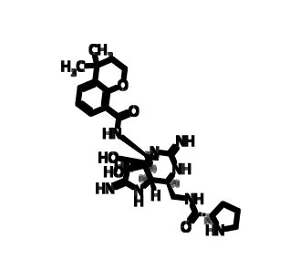 CC1(C)CCOc2c(C(=O)N[C@H]3CN4C(=N)N[C@@H](CNC(=O)[C@@H]5CCCN5)[C@@H]5NC(=N)N[C@@]54C3(O)O)cccc21